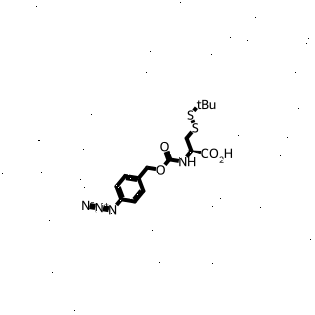 CC(C)(C)SSC[C@H](NC(=O)OCc1ccc(N=[N+]=[N-])cc1)C(=O)O